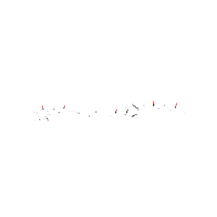 CC(=O)CCNC(=O)CCc1ccc(NC(=O)CCOCCOCCNC(=O)CCN2C(=O)C(C)C(C)C2=O)cc1